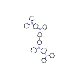 C1=CCC=CC(N(C2=CCC=C(N(c3ccccc3)c3ccccc3)C=C2)c2ccc(-c3ccc(N(c4ccccc4)c4ccc(N(C5=CCCC=C5)C5=CC=CCC5)cc4)cc3)cc2)=C1